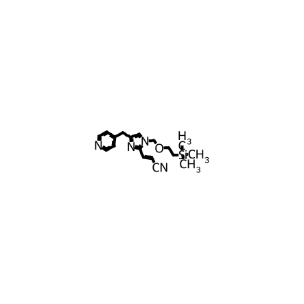 C[Si](C)(C)CCOCn1cc(Cc2ccncc2)nc1/C=C/C#N